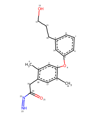 Cc1cc(Oc2cccc(CCCO)c2)c(C)cc1CC(=O)N=N